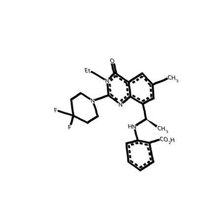 CCn1c(N2CCC(F)(F)CC2)nc2c([C@@H](C)Nc3ccccc3C(=O)O)cc(C)cc2c1=O